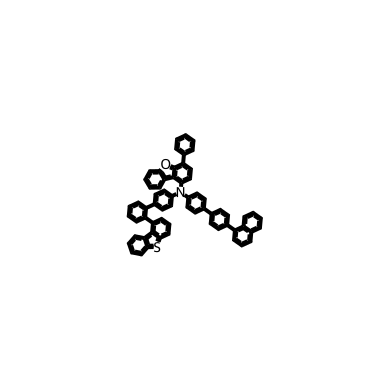 c1ccc(-c2ccc(N(c3ccc(-c4ccc(-c5cccc6ccccc56)cc4)cc3)c3ccc(-c4ccccc4-c4cccc5sc6ccccc6c45)cc3)c3c2oc2ccccc23)cc1